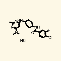 Cc1nc(NC2CCC(NC(=O)c3ccc(Cl)c(F)c3)CC2)cc(N(C)C)n1.Cl